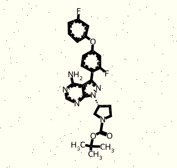 CC(C)(C)OC(=O)N1CC[C@@H](n2nc(-c3ccc(Oc4cccc(F)c4)cc3F)c3c(N)ncnc32)C1